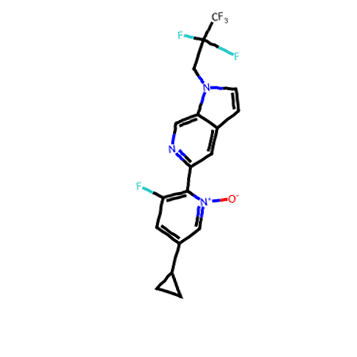 [O-][n+]1cc(C2CC2)cc(F)c1-c1cc2ccn(CC(F)(F)C(F)(F)F)c2cn1